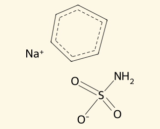 NS(=O)(=O)[O-].[Na+].c1ccccc1